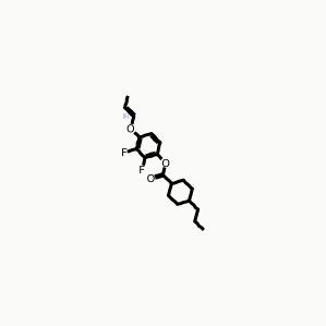 C/C=C/Oc1ccc(OC(=O)C2CCC(CCC)CC2)c(F)c1F